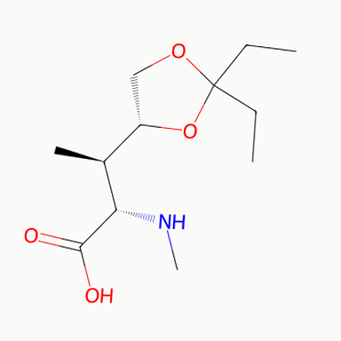 CCC1(CC)OC[C@@H]([C@H](C)[C@H](NC)C(=O)O)O1